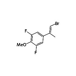 COc1c(F)cc(C(C)=CBr)cc1F